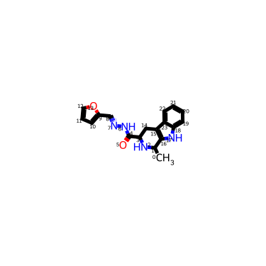 CC1NC(C(=O)N/N=C/c2ccco2)Cc2c1[nH]c1ccccc21